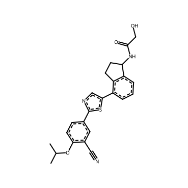 CC(C)Oc1ccc(-c2ncc(-c3cccc4c3CCC4NC(=O)CO)s2)cc1C#N